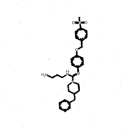 CS(=O)(=O)c1ccc(COc2ccc(/N=C(\NCCCN)N3CCC(Cc4ccccc4)CC3)cc2)cc1